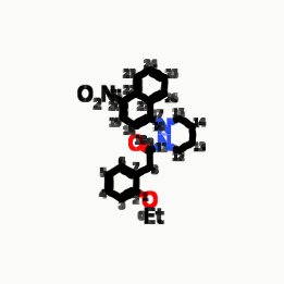 CCOc1ccccc1CC(=O)N1CCCCN1c1ccc([N+](=O)[O-])c2ccccc12